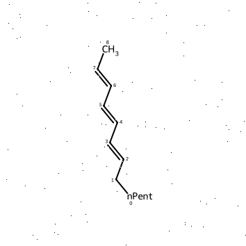 [CH2]CCCCCC=CC=CC=CC